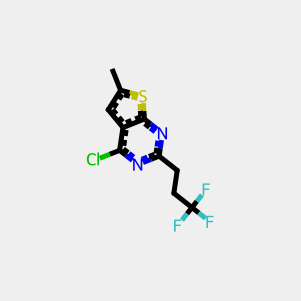 Cc1cc2c(Cl)nc(CCC(F)(F)F)nc2s1